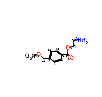 NCCOC(=O)c1ccc(CO[N+](=O)[O-])cc1